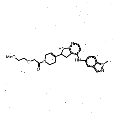 COCCOCC(=O)N1CC=C(C2Cc3c(Nc4ccc5c(cnn5C)c4)ccnc3N2)CC1